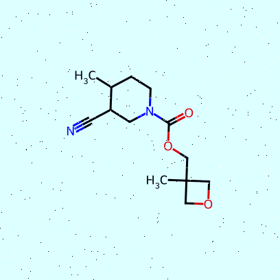 CC1CCN(C(=O)OCC2(C)COC2)CC1C#N